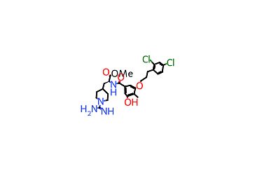 COC(=O)[C@H](CC1CCN(C(=N)N)CC1)NC(=O)c1cc(O)c(C)c(OCCCc2ccc(Cl)cc2Cl)c1